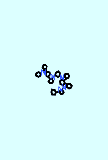 c1ccc(-c2cccc(-n3c4ccccc4c4c5c6ccccc6n(-c6cccc(-n7c8ccccc8c8cc9c(cc87)c7ccccc7n9-c7ccccc7)c6)c5ccc43)n2)cc1